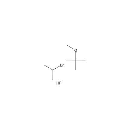 CC(C)Br.COC(C)(C)C.F